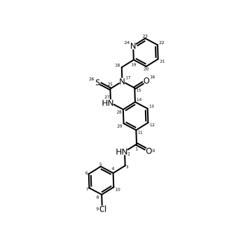 O=C(NCc1cccc(Cl)c1)c1ccc2c(=O)n(Cc3ccccn3)c(=S)[nH]c2c1